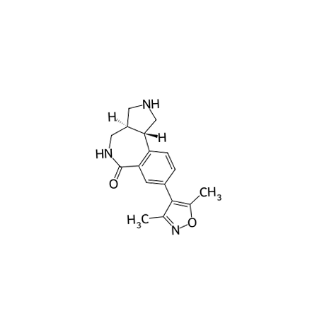 Cc1noc(C)c1-c1ccc2c(c1)C(=O)NC[C@H]1CNC[C@H]21